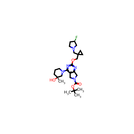 CC(C)(C)OC(=O)N1Cc2nc(OCC3(CN4CC[C@@H](F)C4)CC3)nc(N3CCC[C@@](C)(O)C3)c2C1